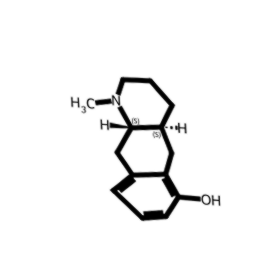 CN1CCC[C@H]2Cc3c(O)cccc3C[C@@H]21